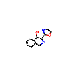 Cc1nc(-c2ncco2)c(O)c2ccccc12